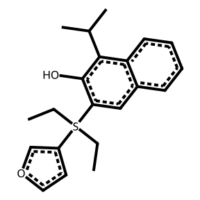 CCS(CC)(c1ccoc1)c1cc2ccccc2c(C(C)C)c1O